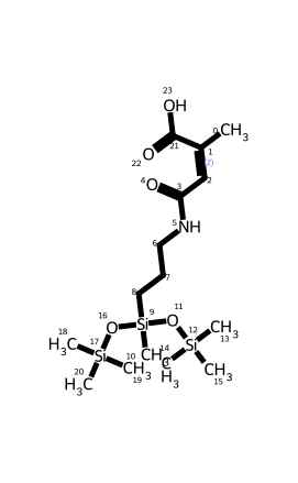 C/C(=C/C(=O)NCCC[Si](C)(O[Si](C)(C)C)O[Si](C)(C)C)C(=O)O